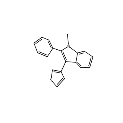 Cn1c(-c2ccccc2)c(-c2ccsc2)c2ccccc21